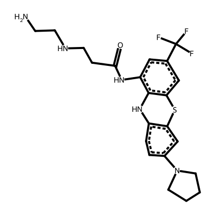 NCCNCCC(=O)Nc1cc(C(F)(F)F)cc2c1Nc1ccc(N3CCCC3)cc1S2